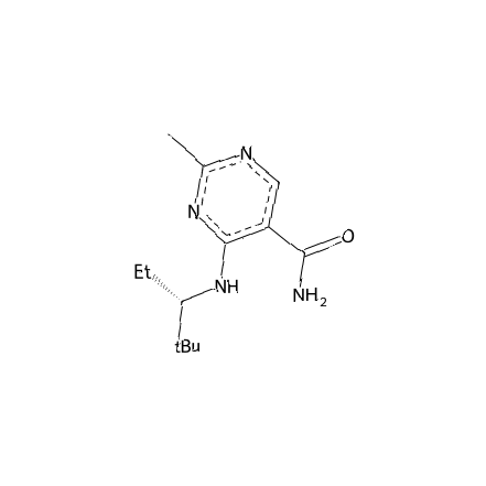 CC[C@H](Nc1nc(C)ncc1C(N)=O)C(C)(C)C